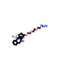 C[C@]12c3ccccc3C[C@H](c3ccccc31)N2C(=O)CCOCCOCCOCCN=[N+]=[N-]